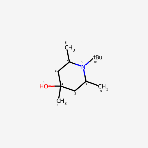 CC1CC(C)(O)CC(C)N1C(C)(C)C